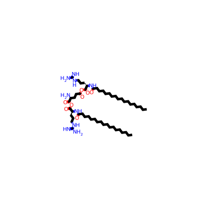 CCCCCCCCCCCCCCCCCC(=O)N[C@@H](CCCNC(=N)N)C(=O)OC(=O)CC[C@H](N)C(=O)OC(=O)[C@H](CCCNC(=N)N)NC(=O)CCCCCCCCCCCCCCCCC